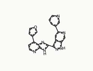 c1cncc(-c2cc3c(-c4nc5c(-c6ccoc6)ccnc5[nH]4)n[nH]c3cn2)c1